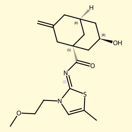 C=C1C[C@H]2C[C@@H](O)C[C@@](C(=O)/N=c3\sc(C)cn3CCOC)(C1)C2